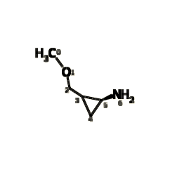 COCC1C[C@@H]1N